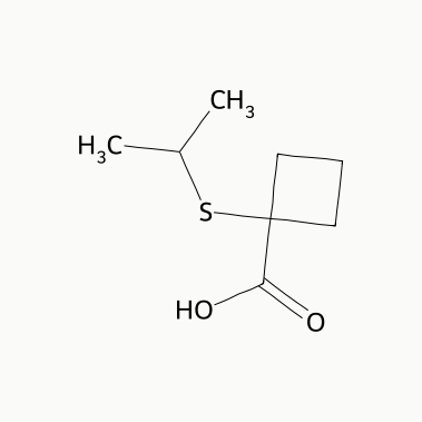 CC(C)SC1(C(=O)O)CCC1